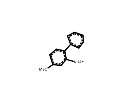 COc1ccc(-c2ccccc2)c(NC(C)=O)c1